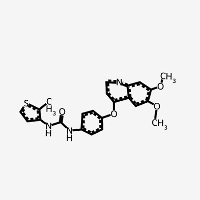 COc1cc2nccc(Oc3ccc(NC(=O)Nc4ccsc4C)cc3)c2cc1OC